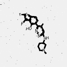 Cc1cc(NC2CCCN(C)C2)nnc1-c1ccc2sc(F)c(F)c2c1O